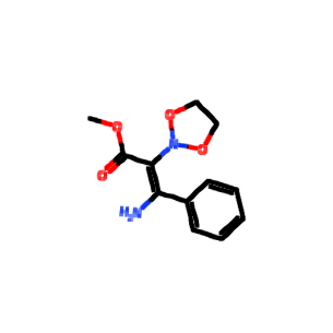 COC(=O)C(=C(N)c1ccccc1)N1OCCO1